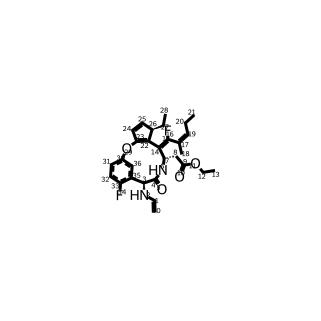 C=CN[C@@H]1C(=O)N[C@@H](CC(=O)OCC)C(=C(F)/C(C)=C\CC)C2=C(C=C[C@H]2CC)Oc2ccc(F)c1c2